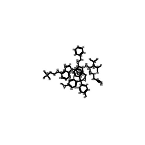 COc1ccc(C(OCC2O[C@@H](n3cnc4c(OCC[Si](C)(C)C)ncnc43)[C@@H](OCc3ccccc3)[C@@H]2OP(OCCC#N)N(C(C)C)C(C)C)(c2ccccc2)c2ccc(C)cc2)cc1